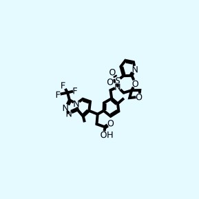 Cc1ccc(C(CC(=O)O)c2ccn3c(C(F)(F)F)nnc3c2C)cc1CN1CC2(COC2)Oc2ncccc2S1(=O)=O